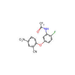 N#Cc1cc([N+](=O)[O-])ccc1Oc1ccc(F)c(NC(=O)C(F)(F)F)c1